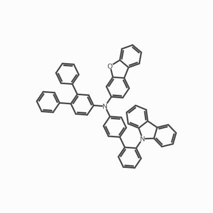 c1ccc(-c2ccc(N(c3ccc(-c4ccccc4-n4c5ccccc5c5ccccc54)cc3)c3ccc4c(c3)oc3ccccc34)cc2-c2ccccc2)cc1